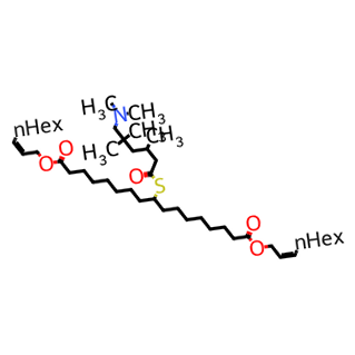 CCCCCC/C=C\COC(=O)CCCCCCCC(CCCCCCCC(=O)OC/C=C\CCCCCC)SC(=O)CC(C)CC(C)(C)CN(C)C